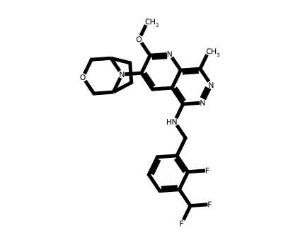 COc1nc2c(C)nnc(NCc3cccc(C(F)F)c3F)c2cc1N1C2CCC1COC2